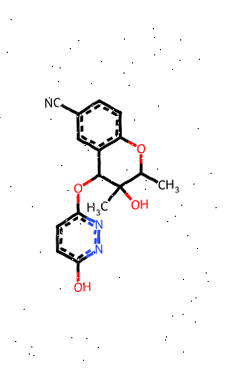 CC1Oc2ccc(C#N)cc2C(Oc2ccc(O)nn2)C1(C)O